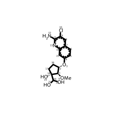 CO[C@@H]1[C@@H](Oc2ccc3cc(Cl)c(N)nc3c2)CC[C@]1(O)C(O)O